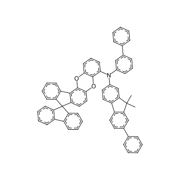 CC1(C)c2cc(-c3ccccc3)ccc2-c2ccc(N(c3cccc(-c4ccccc4)c3)c3cccc4c3Oc3ccc5c(c3O4)-c3ccccc3C53c4ccccc4-c4ccccc43)cc21